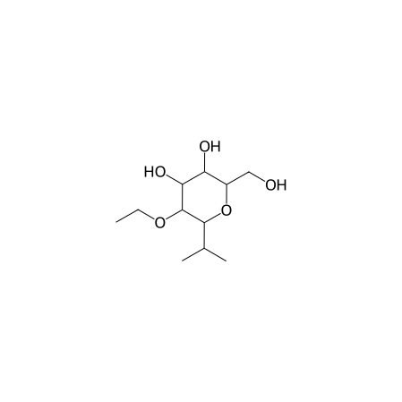 CCOC1C(O)C(O)C(CO)OC1C(C)C